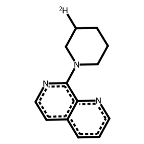 [2H]C1CCCN(c2nccc3cccnc23)C1